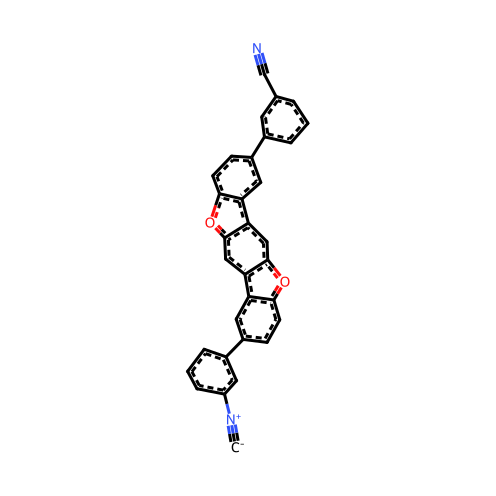 [C-]#[N+]c1cccc(-c2ccc3oc4cc5c(cc4c3c2)oc2ccc(-c3cccc(C#N)c3)cc25)c1